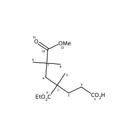 CCOC(=O)C(C)(CCC(=O)O)CC(C)(C)C(=O)OC